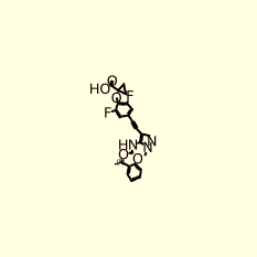 C[C@@H](OC(=O)Nc1c(C#Cc2cc(F)c(OC3(C(=O)O)CC3)c(F)c2)cnn1C)c1ccccc1